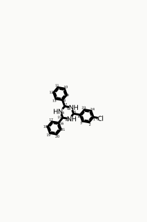 Clc1ccc(C2NC(c3ccccc3)NC(c3ccccc3)N2)cc1